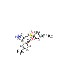 CC(=O)Nc1ccc(S(=O)(=O)C[C@@H](Oc2ccc(C(F)(F)F)cc2)[C@H]2CCNC2)cc1